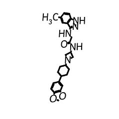 Cc1ccc2[nH]nc(NCC(=O)NC3CN(C4CCC(c5ccc6c(c5)OCO6)CC4)C3)c2c1